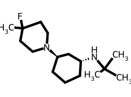 CC1(F)CCN([C@@H]2CCC[C@@H](NC(C)(C)C)C2)CC1